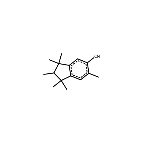 Cc1cc2c(cc1C#N)C(C)(C)C(C)C2(C)C